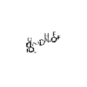 O=c1ccc2ncc(F)cc2n1CCN1CCC(NCc2ccc(F)c(F)c2)CC1